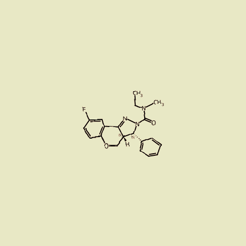 CCN(C)C(=O)N1N=C2c3cc(F)ccc3OC[C@H]2[C@H]1c1ccccc1